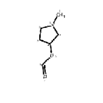 CN1CCC(O[C]=O)C1